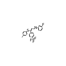 Cc1ccc(SC(=CC=Nc2cccc(F)c2)c2ccc(C(F)(F)F)cc2)cc1